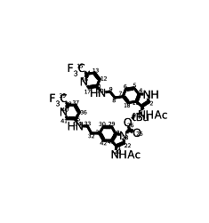 CC(=O)Nc1c[nH]c2ccc(CCNc3ccc(C(F)(F)F)nc3)cc12.CC(=O)Nc1cn(C(=O)OC(C)(C)C)c2ccc(CCNc3ccc(C(F)(F)F)nc3)cc12